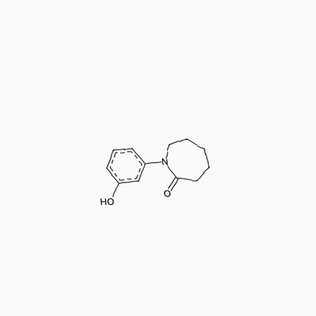 O=C1CCCCCN1c1cccc(O)c1